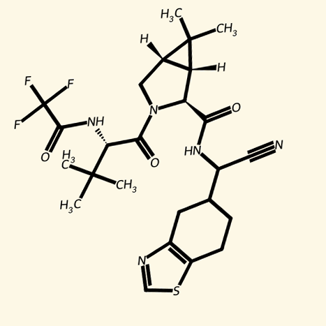 CC(C)(C)[C@H](NC(=O)C(F)(F)F)C(=O)N1C[C@H]2[C@@H]([C@H]1C(=O)NC(C#N)C1CCc3scnc3C1)C2(C)C